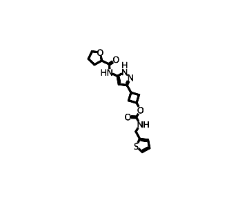 O=C(NCc1cccs1)OC1CC(c2cc(NC(=O)C3CCCO3)[nH]n2)C1